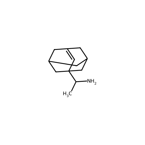 CC(N)C12C=C3CC(CC(C3)C1)C2